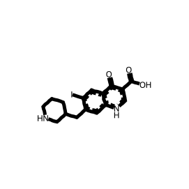 O=C(O)c1c[nH]c2cc(CC3CCCNC3)c(I)cc2c1=O